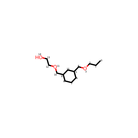 CCCOCC1CCCC(COCCO)C1